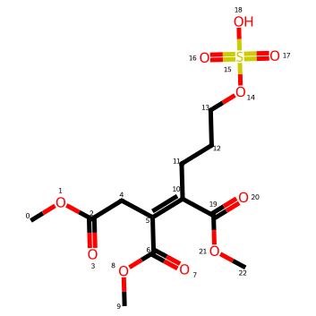 COC(=O)C/C(C(=O)OC)=C(\CCCOS(=O)(=O)O)C(=O)OC